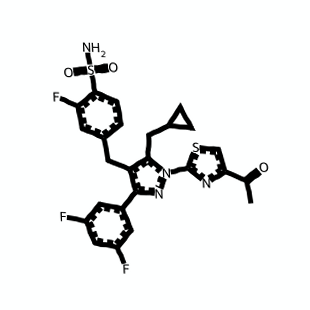 CC(=O)c1csc(-n2nc(-c3cc(F)cc(F)c3)c(Cc3ccc(S(N)(=O)=O)c(F)c3)c2CC2CC2)n1